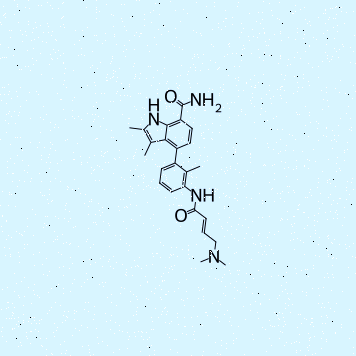 Cc1[nH]c2c(C(N)=O)ccc(-c3cccc(NC(=O)C=CCN(C)C)c3C)c2c1C